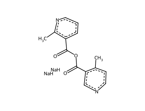 Cc1ccncc1C(=O)OC(=O)c1cccnc1C.[NaH].[NaH]